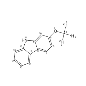 [2H]C([2H])([2H])Oc1ccc2c(c1)[nH]c1ccccc12